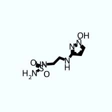 NS(=O)(=O)NCCNc1ccn(O)n1